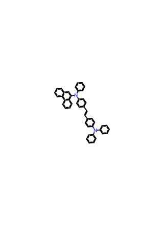 C(=Cc1ccc(N(c2ccccc2)c2cc3ccccc3c3ccccc23)cc1)c1ccc(N(c2ccccc2)c2ccccc2)cc1